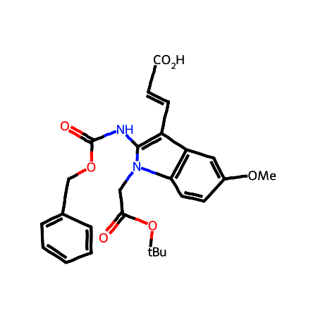 COc1ccc2c(c1)c(C=CC(=O)O)c(NC(=O)OCc1ccccc1)n2CC(=O)OC(C)(C)C